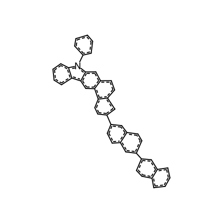 c1ccc(-n2c3ccccc3c3cc4c(ccc5cc(-c6ccc7cc(-c8ccc9ccccc9c8)ccc7c6)ccc54)cc32)cc1